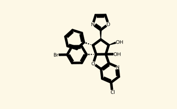 O[C@@H]1[C@H](c2ncco2)[C@@H](c2ccccc2)[C@]2(c3ccc(Br)cc3)Oc3cc(Cl)cnc3C12O